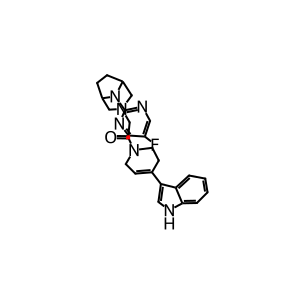 O=C(CN1CC2CCC(C1)N2c1ncc(F)cn1)N1CC=C(c2c[nH]c3ccccc23)CC1